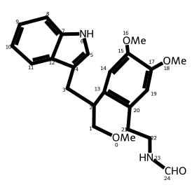 COCC(Cc1c[nH]c2ccccc12)c1cc(OC)c(OC)cc1CCNC=O